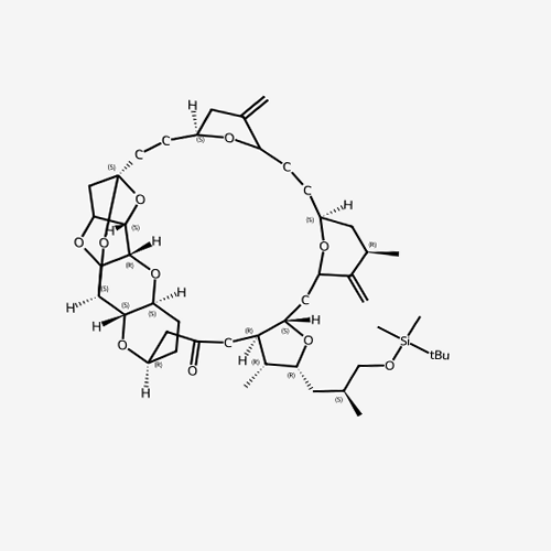 C=C1C[C@@H]2CC[C@@]34CC5OC6[C@@H](O3)[C@H]3O[C@H](CC[C@@H]3O[C@H]6[C@H]5O4)CC(=O)C[C@@H]3[C@@H](C)[C@@H](C[C@H](C)CO[Si](C)(C)C(C)(C)C)O[C@H]3CC3O[C@@H](CCC1O2)C[C@@H](C)C3=C